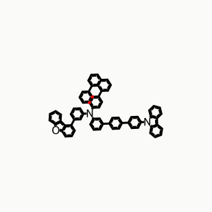 c1ccc(-c2cccc3cccc(-c4ccc(N(c5cccc(-c6ccc(-c7ccc(-n8c9ccccc9c9ccccc98)cc7)cc6)c5)c5cccc(-c6cccc7oc8ccccc8c67)c5)cc4)c23)cc1